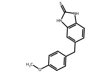 COc1ccc(Cc2ccc3[nH]c(=S)[nH]c3c2)cc1